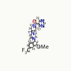 COC1CC(N2CCN(C3(C)CCN(C(=O)c4c(C)ncnc4C)CC3)CC2C)c2ccc(C(F)(F)F)cc21